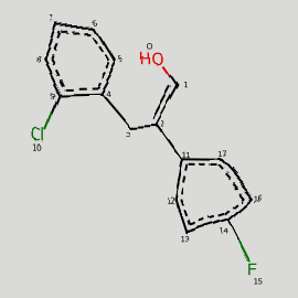 O/C=C(\Cc1ccccc1Cl)c1ccc(F)cc1